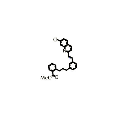 COC(=O)c1ccccc1CCCc1cccc(/C=C/c2ccc3ccc(Cl)cc3n2)c1